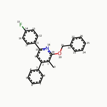 Cc1c(-c2ccccc2)cc(-c2ccc(F)cc2)nc1OCc1ccccc1